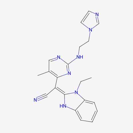 CCN1C(=C(C#N)c2nc(NCCn3ccnc3)ncc2C)Nc2ccccc21